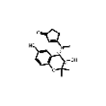 CN(C1=CC(=O)CC1)[C@H]1c2cc(C#N)ccc2OC(C)(C)[C@@H]1O